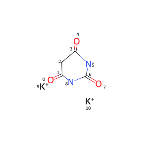 O=C1CC(=O)[N-]C(=O)[N-]1.[K+].[K+]